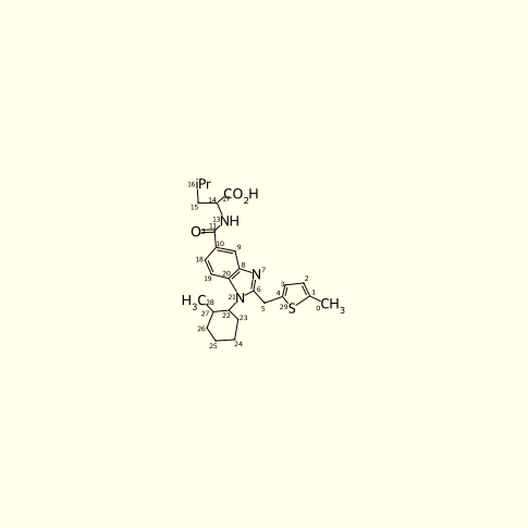 Cc1ccc(Cc2nc3cc(C(=O)NC(CC(C)C)C(=O)O)ccc3n2C2CCCCC2C)s1